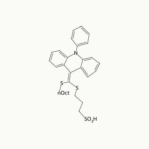 CCCCCCCCSC(SCCCS(=O)(=O)O)=C1c2ccccc2N(c2ccccc2)c2ccccc21